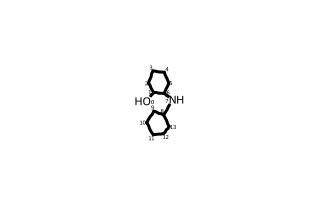 OC1CCCCC1NC1CCCCC1